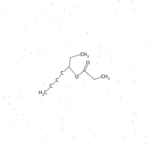 CCCCC(CC)OC(=O)CC